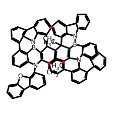 CC1C2=C(C(C)C3=C(C2C)N(c2cccc4c2oc2ccccc24)c2cccc4c2B3n2c3ccccc3c3cccc-4c32)C2(C)C3=C1N(c1c(-c4ccccc4)cccc1-c1ccccc1)c1ccccc1B3n1c3ccccc3c3cccc2c31